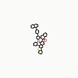 c1ccc(N(c2ccc(-c3ccc(-c4cccc5ccccc45)cc3)cc2)c2cccc3oc4c5ccccc5ccc4c23)c(-c2cccc3c2sc2ccccc23)c1